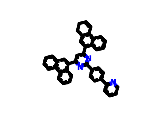 C1=Cc2c(cc(-c3cc(-c4cc5ccccc5c5ccccc45)nc(-c4ccc(-c5ccccn5)cc4)n3)c3ccccc23)CC1